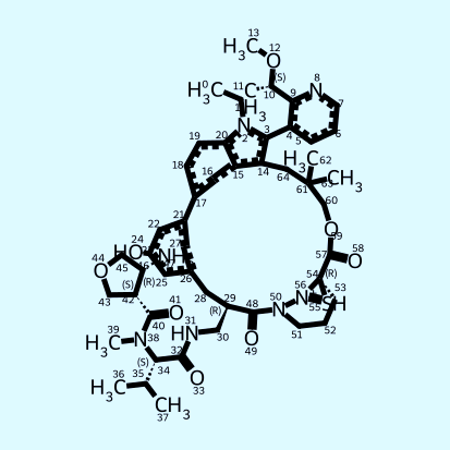 CCn1c(-c2cccnc2[C@H](C)OC)c2c3cc(ccc31)-c1cc(O)cc(c1)C[C@H](CNC(=O)[C@H](C(C)C)N(C)C(=O)[C@@H]1COC[C@@H]1N)C(=O)N1CCC[C@@]3([SH]=[N+]13)C(=O)OCC(C)(C)C2